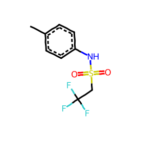 Cc1ccc(NS(=O)(=O)CC(F)(F)F)cc1